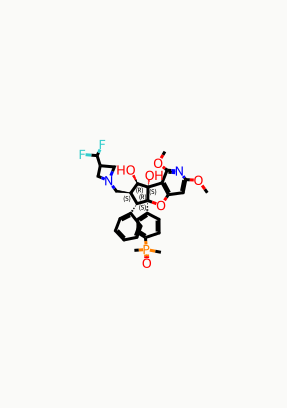 COc1cc2c(c(OC)n1)[C@]1(O)[C@H](O)[C@H](CN3CC(C(F)F)C3)[C@@H](c3ccccc3)[C@]1(c1ccc(P(C)(C)=O)cc1)O2